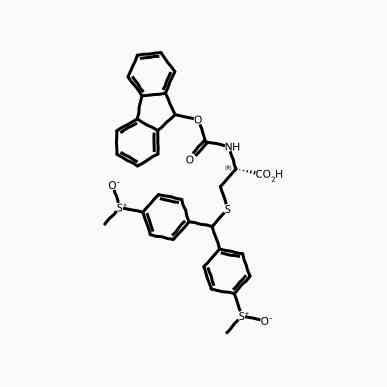 C[S+]([O-])c1ccc(C(SC[C@H](NC(=O)OC2c3ccccc3-c3ccccc32)C(=O)O)c2ccc([S+](C)[O-])cc2)cc1